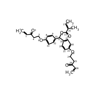 C=CC(=O)CCOc1ccc(C(OC(=O)C(C)=CC)c2ccc(OCCC(=O)C=C)cc2)cc1